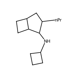 CCCC1CC2CCC2C1NC1CCC1